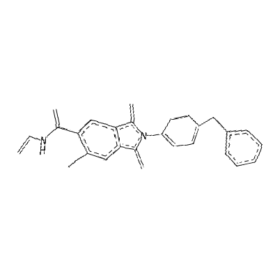 C=CNC(=C)c1cc2c(=C)n(C3=CC=C(Cc4ccccc4)CC3)c(=C)c2cc1C